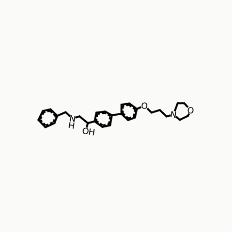 OC(CNCc1ccccc1)c1ccc(-c2ccc(OCCCN3CCOCC3)cc2)cc1